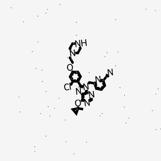 CC1(Oc2ncnc3c2nc(-c2ccc(OCCN4CCNCC4)cc2Cl)n3Cc2cccc(C#N)n2)CC1